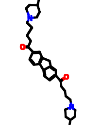 CC1CCN(CCCCC(=O)c2ccc3c(c2)Cc2cc(C(=O)CCCCN4CCC(C)CC4)ccc2-3)CC1